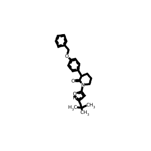 CC(C)(C)c1cc(N2CCCC(c3ccc(OCc4ccccc4)cc3)C2=O)on1